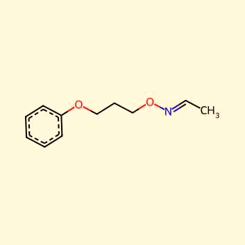 C/C=N/OCCCOc1ccccc1